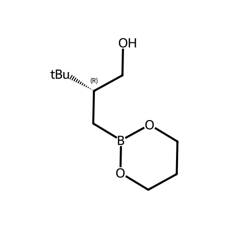 CC(C)(C)[C@H](CO)CB1OCCCO1